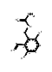 NC(=O)OCc1c(F)ccc(F)c1C=O